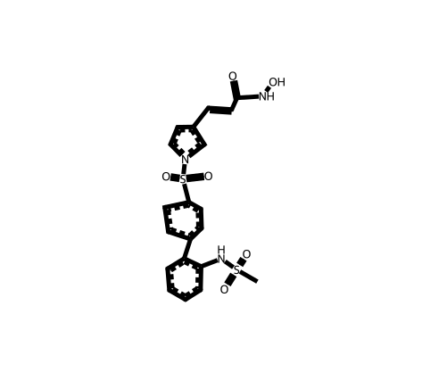 CS(=O)(=O)Nc1ccccc1-c1ccc(S(=O)(=O)n2ccc(C=CC(=O)NO)c2)cc1